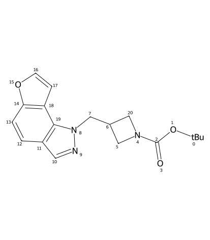 CC(C)(C)OC(=O)N1CC(Cn2ncc3ccc4occc4c32)C1